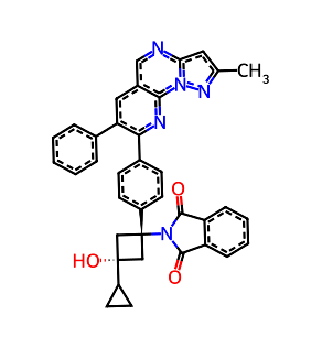 Cc1cc2ncc3cc(-c4ccccc4)c(-c4ccc([C@]5(N6C(=O)c7ccccc7C6=O)C[C@](O)(C6CC6)C5)cc4)nc3n2n1